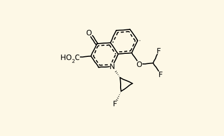 O=C(O)c1cn([C@@H]2C[C@@H]2F)c2c(OC(F)F)[c]ccc2c1=O